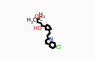 CC(C)(O)CC[C@H](O)c1cccc(C=Cc2ccc3ccc(Cl)cc3n2)c1